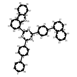 c1ccc(-c2ccc(-c3nc(-c4ccc(-c5cccc6ccccc56)cc4)nc(-c4cccc5c4sc4ccccc45)n3)cc2)cc1